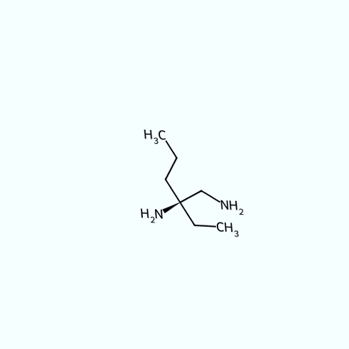 CCC[C@@](N)(CC)CN